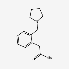 CC(C)(C)C(=O)Cc1ccccc1CN1CCCC1